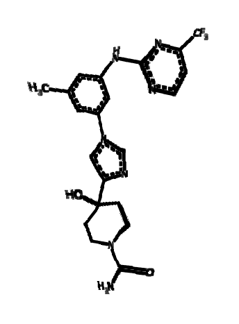 Cc1cc(Nc2nccc(C(F)(F)F)n2)cc(-n2cnc(C3(O)CCN(C(N)=O)CC3)c2)c1